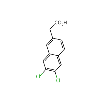 O=C(O)Cc1ccc2cc(Cl)c(Cl)cc2c1